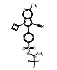 Cc1cc2c(C#N)c(-c3ccc(S(=O)(=O)N[C@@H](C)C(F)(F)F)cc3)n(C3=CC=C3)c2cn1